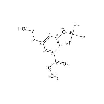 COC(=O)c1cc(CCO)cc(OC(F)(F)F)c1